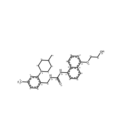 CC1CCN(c2nc(C(F)(F)F)ccc2CNC(=O)Nc2cccc3c(OCCO)nccc23)CC1